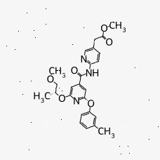 COC[C@@H](C)Oc1cc(C(=O)Nc2ccc(CC(=O)OC)cn2)cc(Oc2cccc(C)c2)n1